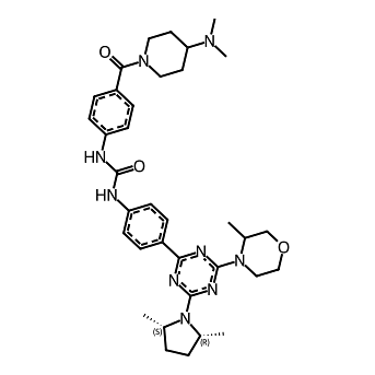 CC1COCCN1c1nc(-c2ccc(NC(=O)Nc3ccc(C(=O)N4CCC(N(C)C)CC4)cc3)cc2)nc(N2[C@H](C)CC[C@@H]2C)n1